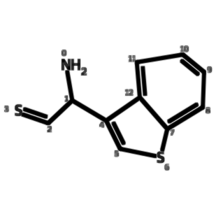 NC(C=S)c1csc2ccccc12